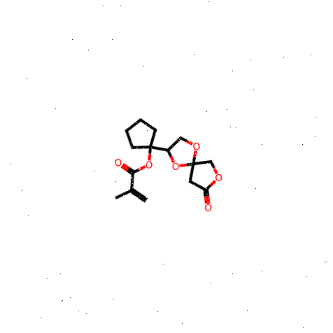 C=C(C)C(=O)OC1(C2COC3(COC(=O)C3)O2)CCCC1